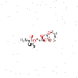 C=C(C)C(=O)OCCC(=O)OC1COCCCCO1